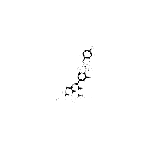 CC(C)n1c(=O)c(-c2cc(F)c(NS(=O)(=O)Cc3ccc(F)cc3)c(F)c2)nc2cnc(N)nc21